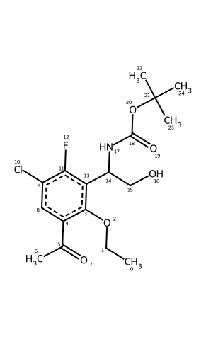 CCOc1c(C(C)=O)cc(Cl)c(F)c1C(CO)NC(=O)OC(C)(C)C